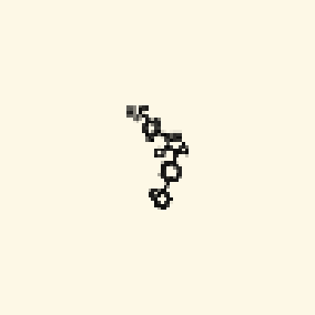 Cc1cnc(NC(=O)C2(c3ccc(-c4ccco4)cc3)CC2)s1